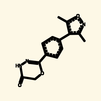 Cc1noc(C)c1-c1ccc(C2=NNC(=O)CO2)cc1